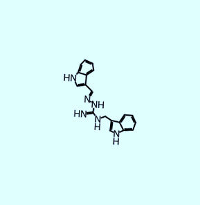 N=C(NCc1c[nH]c2ccccc12)N/N=C/c1c[nH]c2ccccc12